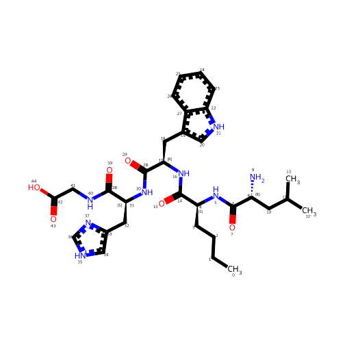 CCCC[C@H](NC(=O)[C@H](N)CC(C)C)C(=O)N[C@H](Cc1c[nH]c2ccccc12)C(=O)N[C@@H](Cc1c[nH]cn1)C(=O)NCC(=O)O